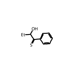 CCC(O)C(=S)c1ccccc1